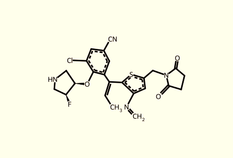 C=Nc1cc(CN2C(=O)CCC2=O)sc1/C(=C\C)c1cc(C#N)cc(Cl)c1O[C@@H]1CNC[C@@H]1F